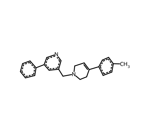 Cc1ccc(C2=CCN(Cc3cncc(-c4ccccc4)c3)CC2)cc1